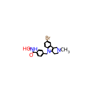 CN1CCc2c(c3cc(Br)ccc3n2Cc2ccc(C(=O)NO)cc2)C1